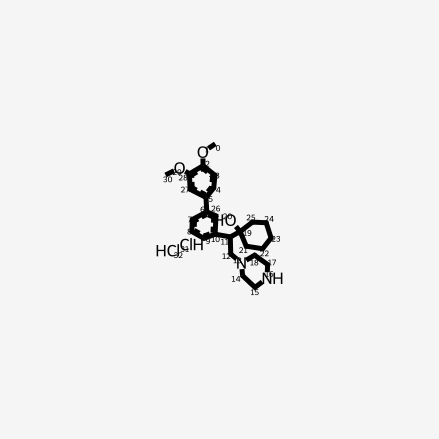 COc1ccc(-c2cccc(C(CN3CCNCC3)C3(O)CCCCC3)c2)cc1OC.Cl.Cl